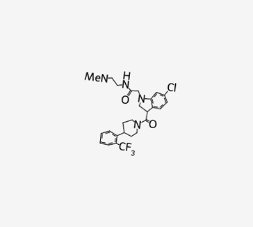 CNCCNC(=O)CN1CC(C(=O)N2CCC(c3ccccc3C(F)(F)F)CC2)c2ccc(Cl)cc21